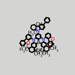 CC1(C)CCC(C)(C)c2cc3c(cc21)B1c2cc4c(cc2N(c2cccc5oc6ccccc6c25)c2cc(N5c6ccc(-c7ccccc7)cc6C6(C)CCCCC56C)cc(c21)N3c1cccc2c1oc1ccccc12)C(C)(C)CCC4(C)C